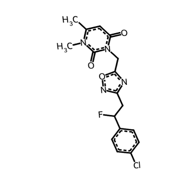 Cc1cc(=O)n(Cc2nc(CC(F)c3ccc(Cl)cc3)no2)c(=O)n1C